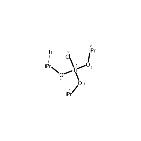 CC(C)[O][Ti]([Cl])([O]C(C)C)[O]C(C)C.[Ti]